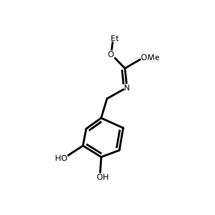 CCOC(=NCc1ccc(O)c(O)c1)OC